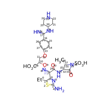 CCc1sc(N)nc1/C(=N/OC(COc1ccc(C(=N)NC2CCNCC2)cc1)C(=O)O)C(=O)N[C@@H]1C(=O)N(S(=O)(=O)O)[C@H]1C